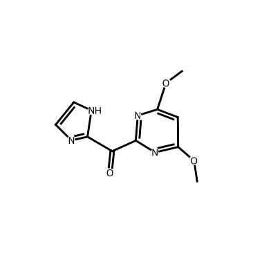 COc1cc(OC)nc(C(=O)c2ncc[nH]2)n1